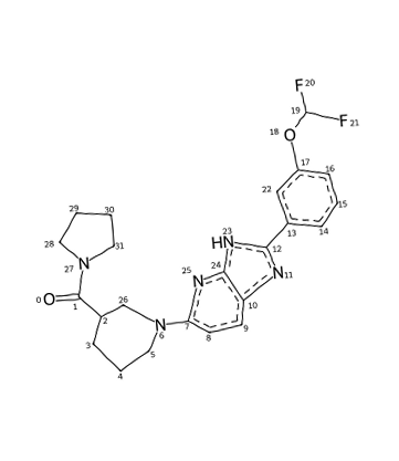 O=C(C1CCCN(c2ccc3nc(-c4cccc(OC(F)F)c4)[nH]c3n2)C1)N1CCCC1